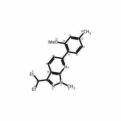 CCC(CC)c1nn(C)c2nc(-c3ccc(C)cc3OC)ccc12